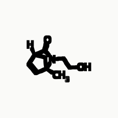 C[C@@]12C=C[C@@H](C1)C(=O)N2CCO